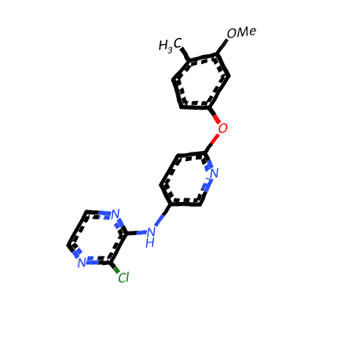 COc1cc(Oc2ccc(Nc3nccnc3Cl)cn2)ccc1C